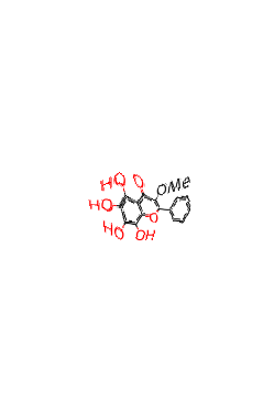 COc1c(-c2ccccc2)oc2c(O)c(O)c(O)c(O)c2c1=O